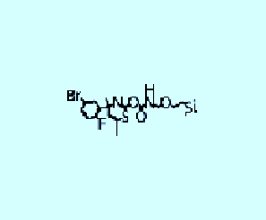 CC1(c2cc(Br)ccc2F)C=C(I)SC(OC(=O)NCOCC[Si](C)(C)C)=N1